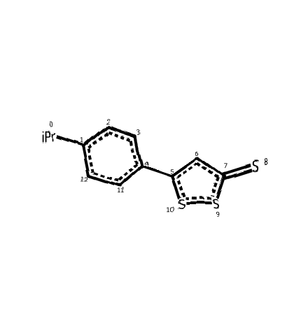 CC(C)c1ccc(-c2cc(=S)ss2)cc1